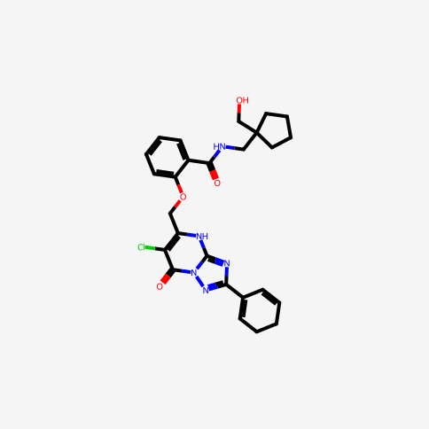 O=C(NCC1(CO)CCCC1)c1ccccc1OCc1[nH]c2nc(C3=CCCC=C3)nn2c(=O)c1Cl